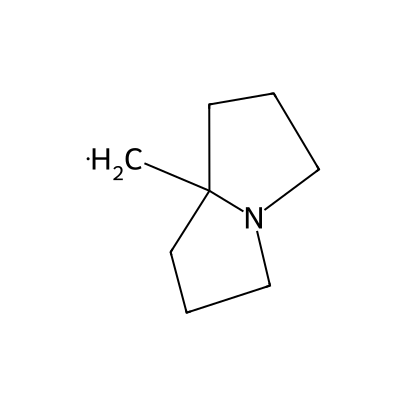 [CH2]C12CCCN1CCC2